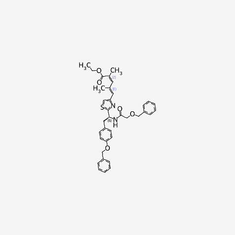 CCOC(=O)/C(C)=C\C(C)=C\c1csc([C@H](Cc2ccc(OCc3ccccc3)cc2)NC(=O)COCc2ccccc2)n1